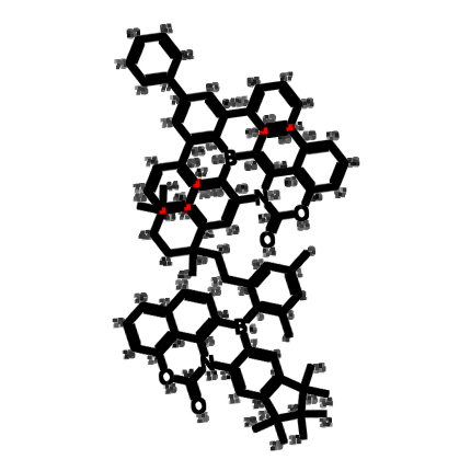 Cc1cc(C)c(B2c3cc4c(cc3N3C(=O)Oc5cccc6ccc2c3c56)C(C)(C)C(C)(C)C4(C)C)c(CCC2(C)CCC(C)(C)c3cc4c(cc32)N2C(=O)Oc3cccc5ccc(c2c35)B4c2c(-c3ccccc3)cc(-c3ccccc3)cc2-c2ccccc2)c1